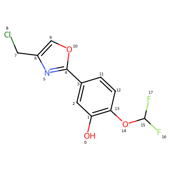 Oc1cc(-c2nc(CCl)co2)ccc1OC(F)F